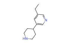 CCc1cncc(C2CCNCC2)c1